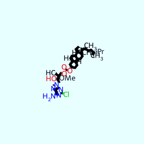 C#CC(COC(=O)O[C@H]1CC[C@@]2(C)C(=CC[C@H]3[C@@H]4CC[C@H]([C@H](C)CC[C@@H](C)C(C)C)[C@@]4(C)CC[C@@H]32)C1)(OC)[C@@H](O)Cn1cnc2c(N)nc(Cl)nc21